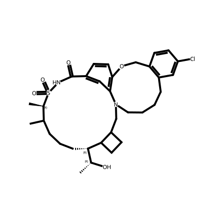 CC1CCC[C@@H]([C@@H](C)O)C2CCC2CN2CCCCc3cc(Cl)ccc3COc3ccc(cc32)C(=O)NS(=O)(=O)[C@@H]1C